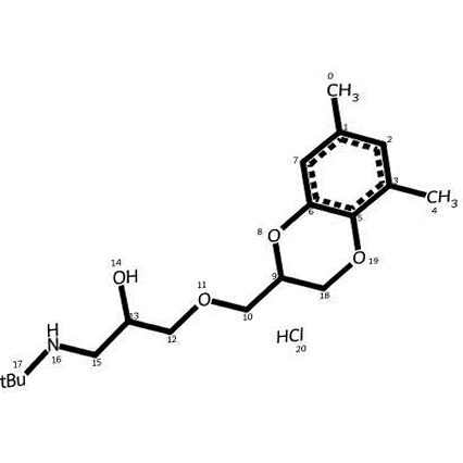 Cc1cc(C)c2c(c1)OC(COCC(O)CNC(C)(C)C)CO2.Cl